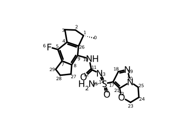 C[C@H]1CCc2c(F)c3c(c(NC(=O)N=[S@](N)(=O)c4cnn5c4OCCC5)c21)CCC3